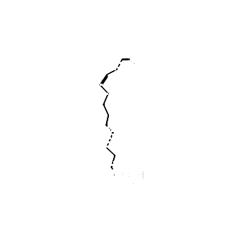 O=C(O)CCCCCCCC/C=C\CCCl